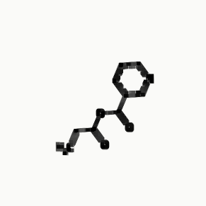 C=CC(=O)OC(=O)c1cccnc1